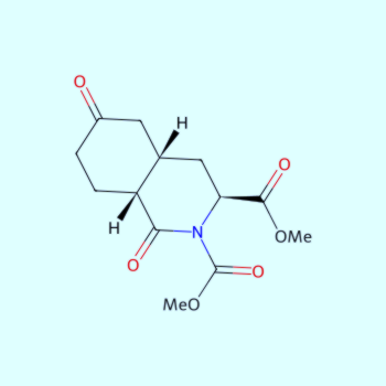 COC(=O)[C@@H]1C[C@H]2CC(=O)CC[C@H]2C(=O)N1C(=O)OC